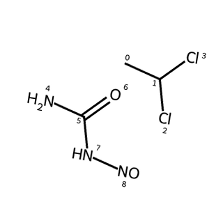 CC(Cl)Cl.NC(=O)NN=O